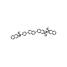 c1ccc2cc3sc(-c4ccc(-c5ccc6cc(-c7ccc8cc9c(cc8c7)sc7c8cc%10ccccc%10cc8sc97)ccc6c5)cc4)cc3cc2c1